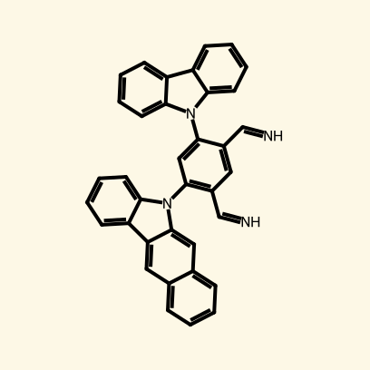 N=Cc1cc(C=N)c(-n2c3ccccc3c3cc4ccccc4cc32)cc1-n1c2ccccc2c2ccccc21